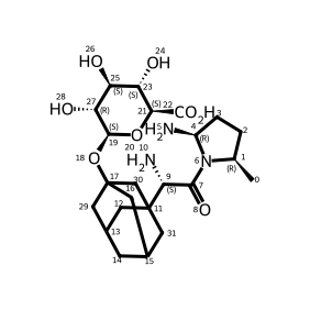 C[C@@H]1CC[C@H](N)N1C(=O)[C@@H](N)C12CC3CC(CC(O[C@@H]4O[C@H](C(=O)O)[C@@H](O)[C@H](O)[C@H]4O)(C3)C1)C2